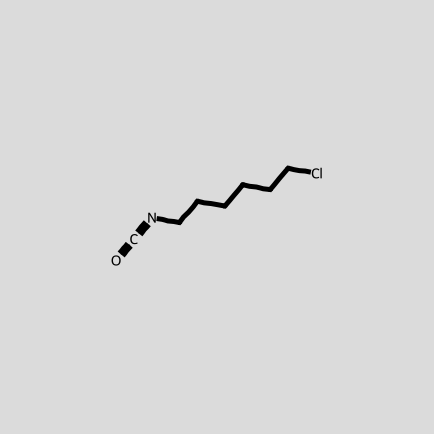 O=C=NCCCCCCCl